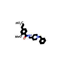 COc1cc(C=CC(=O)O)ccc1C(=O)NCC1CCN(Cc2ccccc2)CC1